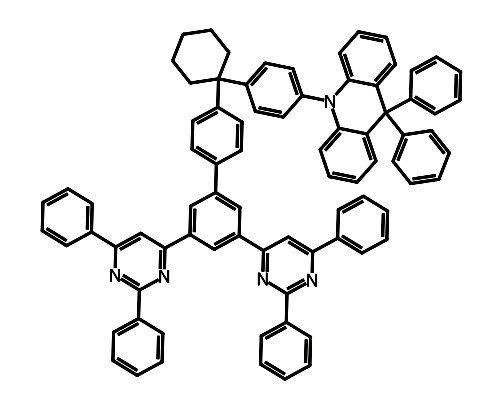 c1ccc(-c2cc(-c3cc(-c4ccc(C5(c6ccc(N7c8ccccc8C(c8ccccc8)(c8ccccc8)c8ccccc87)cc6)CCCCC5)cc4)cc(-c4cc(-c5ccccc5)nc(-c5ccccc5)n4)c3)nc(-c3ccccc3)n2)cc1